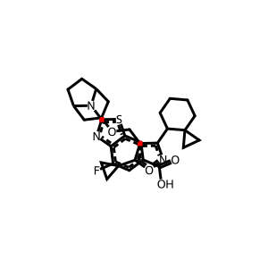 O=C(O)c1cc(F)c2nc(N3C4CCC3CC(OCc3c(C5CCCCC56CC6)noc3C3CC3)C4)sc2c1